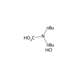 CCCCN(CCCC)C(=O)O.Cl